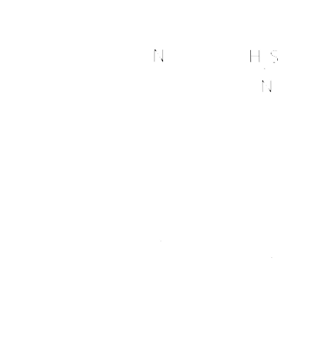 N#Cc1ccccc1.N#Cc1ccccc1.S